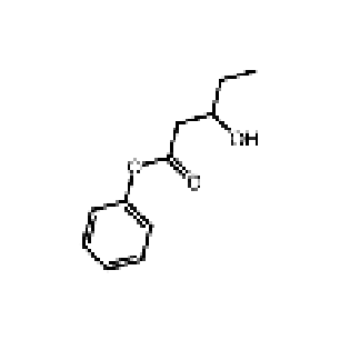 CCC(O)CC(=O)Oc1ccccc1